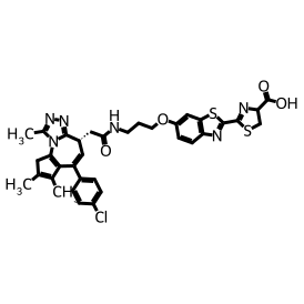 CC1=C(C)C2=C(C1)n1c(C)nnc1[C@H](CC(=O)NCCCOc1ccc3nc(C4=NC(C(=O)O)CS4)sc3c1)C=C2c1ccc(Cl)cc1